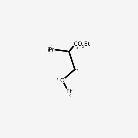 CCOCC(C(=O)OCC)C(C)C